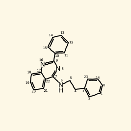 c1ccc(CCNc2nc(-c3ccccc3)nc3ccccc23)cc1